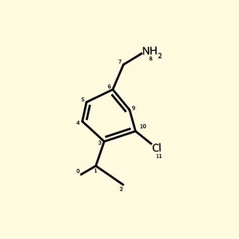 CC(C)c1ccc(CN)cc1Cl